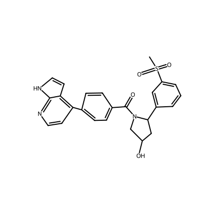 CS(=O)(=O)c1cccc(C2CC(O)CN2C(=O)c2ccc(-c3ccnc4[nH]ccc34)cc2)c1